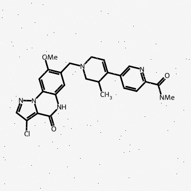 CNC(=O)c1ccc(C2=CCN(Cc3cc4[nH]c(=O)c5c(Cl)cnn5c4cc3OC)CC2C)cn1